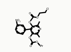 Cc1nc(C)c(OC(=O)OC(C)C)c(-c2cccc([N+](=O)[O-])c2)c1OC(=O)OCCCl